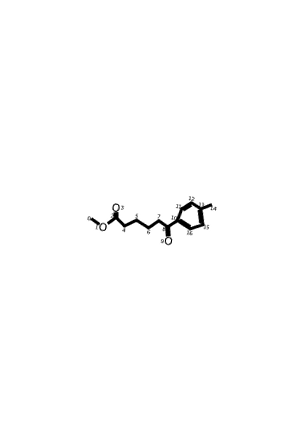 COC(=O)CCCCC(=O)c1ccc(C)cc1